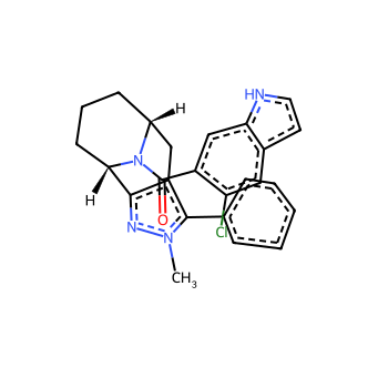 Cn1nc2c(c1-c1ccccc1)C[C@H]1CCC[C@@H]2N1C(=O)c1cc2[nH]ccc2cc1Cl